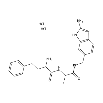 CC(NC(=O)C(N)CCc1ccccc1)C(=O)NCc1ccc2nc(N)[nH]c2c1.Cl.Cl